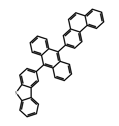 c1ccc2c(c1)ccc1cc(-c3c4ccccc4c(-c4ccc5sc6ccccc6c5c4)c4ccccc34)ccc12